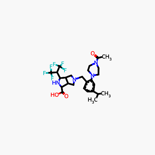 CC(=O)N1CCN(c2cc(C(C)C)ccc2CN2CC3C(C(=O)O)NC(C(C(F)(F)F)C(F)(F)F)C3C2)CC1